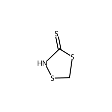 S=C1NSCS1